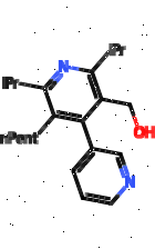 CCCCCc1c(C(C)C)nc(C(C)C)c(CO)c1-c1cccnc1